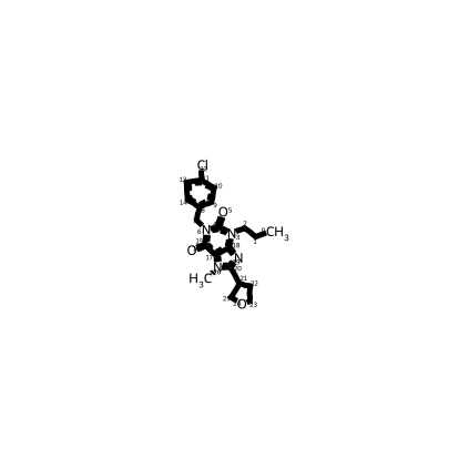 CCCn1c(=O)n(Cc2ccc(Cl)cc2)c(=O)c2c1nc(C1CCOC1)n2C